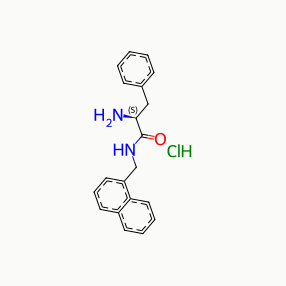 Cl.N[C@@H](Cc1ccccc1)C(=O)NCc1cccc2ccccc12